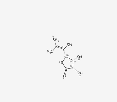 CC(C)=C(O)[C@H]1OC(=O)[C@@H](O)[C@H]1O